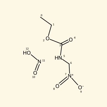 CCOC(=O)NC[N+](=O)[O-].O=NO